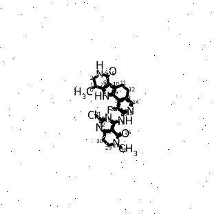 CC1CNC(=O)c2c1[nH]c1c2CCc2cnc(Nc3nc(Cl)nc4c3C(=O)N(C)CC4)c(F)c2-1